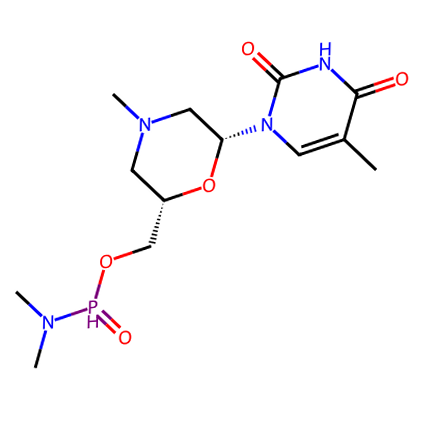 Cc1cn([C@H]2CN(C)C[C@@H](CO[PH](=O)N(C)C)O2)c(=O)[nH]c1=O